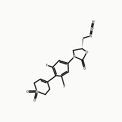 [N-]=[N+]=NC[C@H]1CN(c2cc(F)c(C3=CCS(=O)(=O)CC3)c(F)c2)C(=O)O1